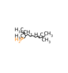 CCC(C)(C)CCCCCCC(CP)C(C)(C)CC